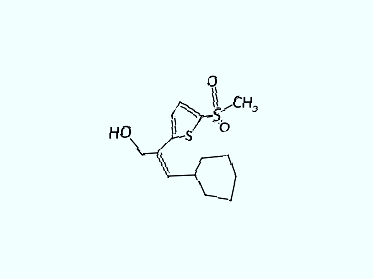 CS(=O)(=O)c1ccc(C(=CC2CCCCC2)CO)s1